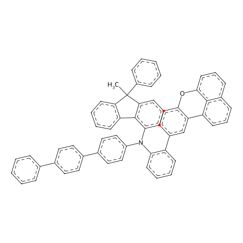 CC1(c2ccccc2)c2ccccc2-c2c(N(c3ccc(-c4ccc(-c5ccccc5)cc4)cc3)c3ccccc3-c3ccc4c(c3)-c3cccc5cccc(c35)O4)cccc21